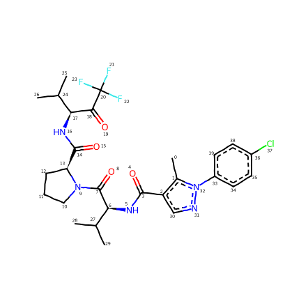 Cc1c(C(=O)N[C@H](C(=O)N2CCC[C@H]2C(=O)N[C@H](C(=O)C(F)(F)F)C(C)C)C(C)C)cnn1-c1ccc(Cl)cc1